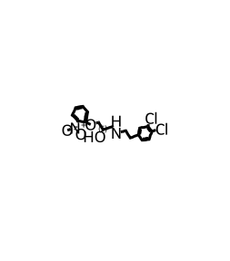 O=[N+]([O-])c1ccccc1OC[C@@H](O)CNCCc1ccc(Cl)c(Cl)c1